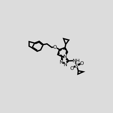 O=S(=O)(Nc1nnc2cc(OCCC3=C=C4CCC4=CC3)c(C3CC3)cn12)C1CC1